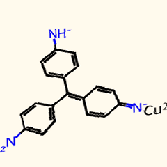 [Cu+2].[N-]=C1C=CC(=C(c2ccc([NH-])cc2)c2ccc(N)cc2)C=C1